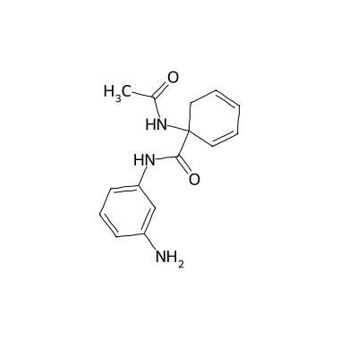 CC(=O)NC1(C(=O)Nc2cccc(N)c2)C=CC=CC1